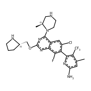 Cc1cc(N)nc(-c2c(Cl)cc3c(N4CCNC[C@@H]4C)nc(OC[C@@H]4CCCN4)nc3c2F)c1C(F)(F)F